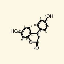 O=C1CC(c2ccc(O)cc2)c2ccc(O)cc2O1